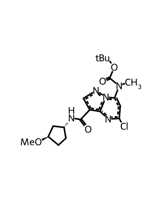 CO[C@@H]1CC[C@@H](NC(=O)c2cnn3c(N(C)C(=O)OC(C)(C)C)cc(Cl)nc23)C1